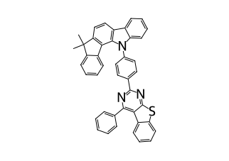 CC1(C)c2ccccc2-c2c1ccc1c3ccccc3n(-c3ccc(-c4nc(-c5ccccc5)c5c(n4)sc4ccccc45)cc3)c21